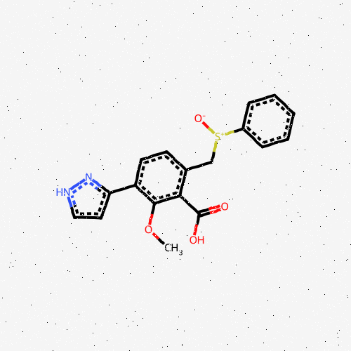 COc1c(-c2cc[nH]n2)ccc(C[S+]([O-])c2ccccc2)c1C(=O)O